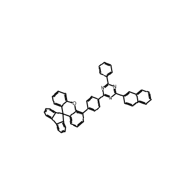 c1ccc(-c2nc(-c3ccc(-c4cccc5c4Oc4ccccc4C54c5ccccc5-c5ccccc54)cc3)nc(-c3ccc4ccccc4c3)n2)cc1